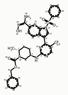 C[C@@H]1CC[C@@H](Nc2ncc(C(F)(F)F)c(-c3cn(S(=O)(=O)c4ccccc4)c4nc(/C(N)=N\O)ccc34)n2)CN1C(=O)OCc1ccccc1